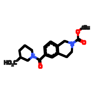 CC(C)(C)OC(=O)N1CCc2cc(C(=O)N3CCCC(C(=O)O)C3)ccc2C1